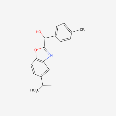 CC(C(=O)O)c1ccc2oc(C(O)c3ccc(C(F)(F)F)cc3)nc2c1